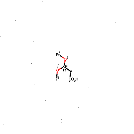 CCO[SiH](CC(=O)O)OCC